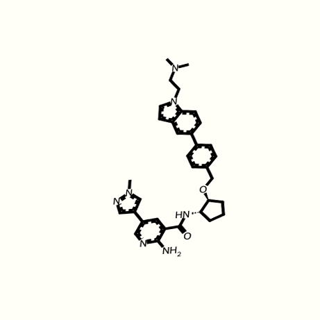 CN(C)CCn1ccc2cc(-c3ccc(CO[C@H]4CCC[C@@H]4NC(=O)c4cc(-c5cnn(C)c5)cnc4N)cc3)ccc21